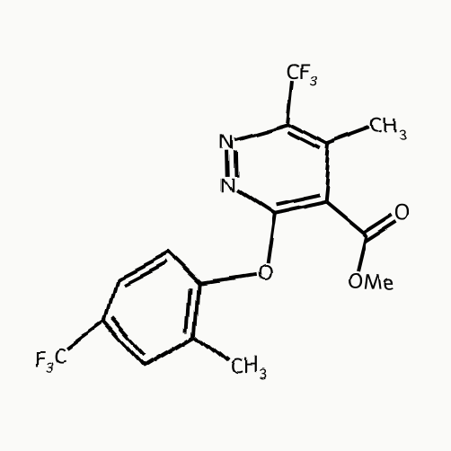 COC(=O)c1c(Oc2ccc(C(F)(F)F)cc2C)nnc(C(F)(F)F)c1C